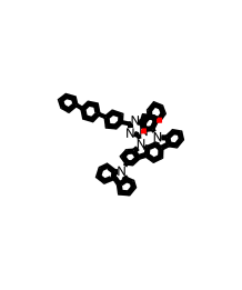 c1ccc(-c2ccc(-c3ccc(-c4nc(-c5ccccc5)nc(-n5c6ccc(-n7c8ccccc8c8ccccc87)cc6c6ccc7c8ccccc8n(-c8ccccc8)c7c65)n4)cc3)cc2)cc1